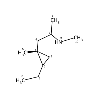 CCC1C[C@@]1(C)CC(C)NC